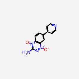 Nc1n[n+]([O-])c2cc(-c3ccncc3)ccc2[n+]1[O-]